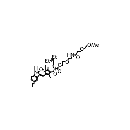 CCN(CC)CCN(C(=O)OCCOCCNC(=O)CCOCCOC)C(=O)c1c(C)[nH]c(/C=C2\C(=O)Nc3ccc(F)cc32)c1C